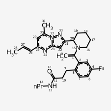 C=C(c1cc(F)ccc1CCC(=O)NCCC)N1CCCCC1c1cc2nc(/C=C/C)cc(C)n2n1